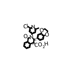 Cc1cc(N2C(=O)c3ccccc3[C@H](C(=O)O)[C@H]2c2ccc3c(c2)OCCO3)cc(Cl)n1